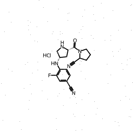 Cl.N#Cc1ccc(N[C@@H]2CN[C@H](C(=O)N3CCCC3C#N)C2)c(F)c1